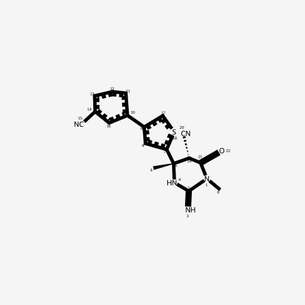 CN1C(=N)N[C@](C)(c2cc(-c3cccc(C#N)c3)cs2)[C@H](C#N)C1=O